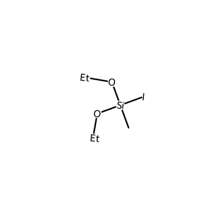 CCO[Si](C)(I)OCC